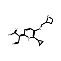 CC(C)C(=O)/C(C=N)=C1\C=CC(OCC2CCO2)=C(C2CC2)N1